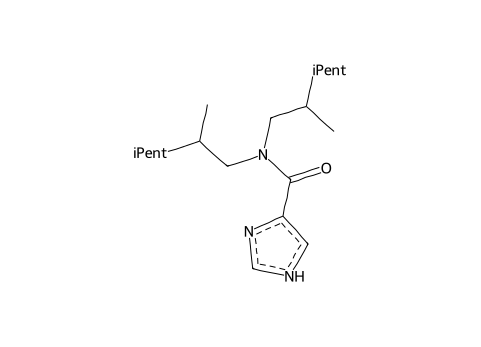 CCCC(C)C(C)CN(CC(C)C(C)CCC)C(=O)c1c[nH]cn1